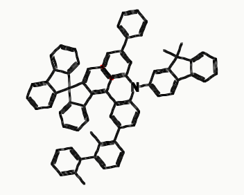 Cc1ccccc1-c1cccc(-c2ccc(N(c3cccc(-c4ccccc4)c3)c3ccc4c(c3)C(C)(C)c3ccccc3-4)c(-c3cccc4c3-c3ccccc3C43c4ccccc4-c4ccccc43)c2)c1C